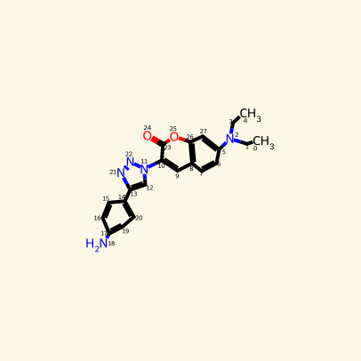 CCN(CC)c1ccc2cc(-n3cc(-c4ccc(N)cc4)nn3)c(=O)oc2c1